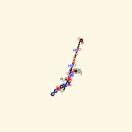 CCc1c2c(nc3ccc(OC(=O)N4CCC(N5CCCCC5)CC4)cc13)-c1cc3c(c(=O)n1C2)COC(=O)[C@@]3(CC)OC(=O)CNC(=O)C(CCCCNC(=O)COCCOCCOCCNC(=O)CCCCCC1C(=O)C=CC1=O)NC(=O)OC(C)(C)C